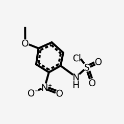 COc1ccc(NS(=O)(=O)Cl)c([N+](=O)[O-])c1